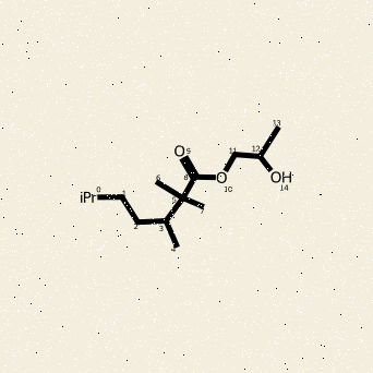 CC(C)CCC(C)C(C)(C)C(=O)OCC(C)O